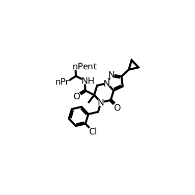 CCCCCC(CCC)NC(=O)C1(C)Cn2nc(C3CC3)cc2C(=O)N1Cc1ccccc1Cl